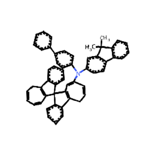 CC1(C)c2ccccc2-c2ccc(N(C3=CC4=C(CC=C3)c3ccccc3C43C4=C(CC=CC=C4)c4ccccc43)c3ccc(-c4ccccc4)cc3)cc21